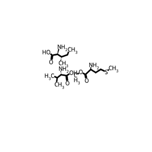 CC(C)[C@H](N)C(=O)O.CC[C@H](C)[C@H](N)C(=O)O.COC(=O)[C@@H](N)CCSC